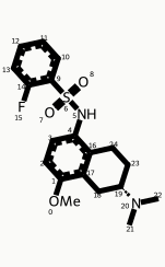 COc1ccc(NS(=O)(=O)c2ccccc2F)c2c1C[C@@H](N(C)C)CC2